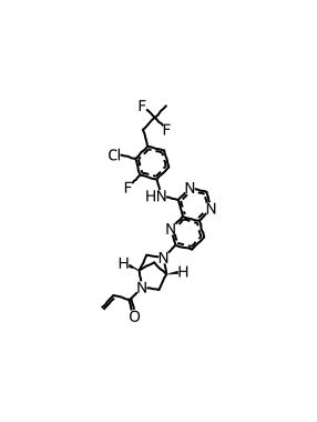 C=CC(=O)N1C[C@@H]2C[C@H]1CN2c1ccc2ncnc(Nc3ccc(CC(C)(F)F)c(Cl)c3F)c2n1